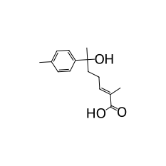 C/C(=C\CCC(C)(O)c1ccc(C)cc1)C(=O)O